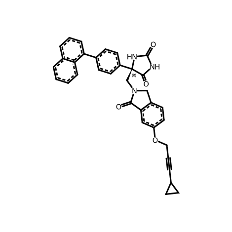 O=C1NC(=O)[C@](CN2Cc3ccc(OCC#CC4CC4)cc3C2=O)(c2ccc(-c3cccc4ccccc34)cc2)N1